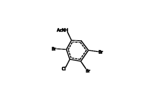 CC(=O)Nc1cc(Br)c(Br)c(Cl)c1Br